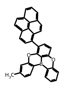 Cc1ccc2c(c1)Oc1c(-c3ccc4ccc5cccc6ccc3c4c56)ccc3c1B2c1ccccc1O3